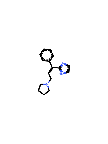 C(/CN1CCCC1)=C(\c1ccccc1)c1ncc[nH]1